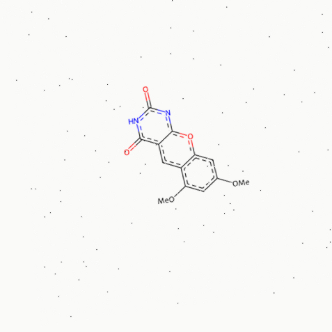 COc1cc(OC)c2cc3c(=O)[nH]c(=O)nc-3oc2c1